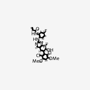 C=CC(=O)Nc1cc(F)ccc1Nc1ncc2c(n1)N(C)C(O)C(c1c(Cl)c(OC)cc(OC)c1Cl)=C2